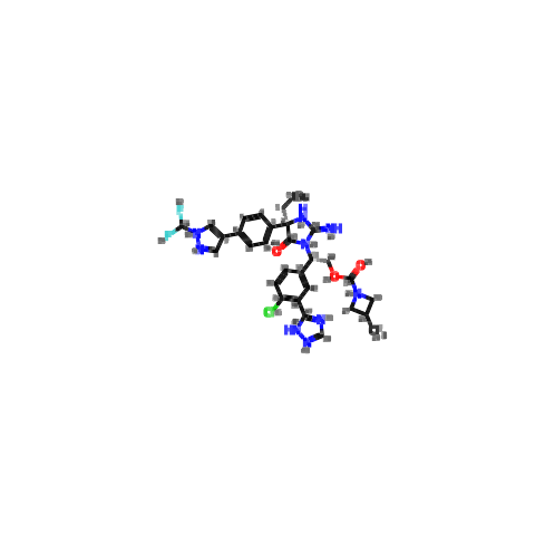 CC(C)(C)C[C@]1(c2ccc(-c3cnn(C(F)F)c3)cc2)NC(=N)N([C@H](COC(=O)N2CC(C(F)(F)F)C2)c2ccc(Cl)c(-c3ncn[nH]3)c2)C1=O